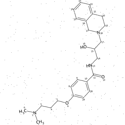 CN(C)CCCOc1ccc(C(=O)NCC(O)CN2CCc3ccccc3C2)cc1